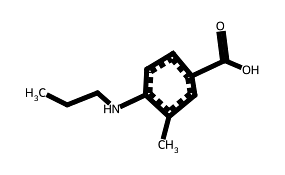 CCCNc1ccc(C(=O)O)cc1C